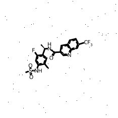 Cc1cc([C@@H](C)NC(=O)c2cnc3cc(C(F)(F)F)ccc3c2)c(F)cc1NS(C)(=O)=O